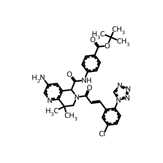 CC(C)(C)OC(=O)c1ccc(NC(=O)C2c3cc(N)cnc3C(C)(C)CN2C(=O)/C=C/c2cc(Cl)ccc2-n2cnnn2)cc1